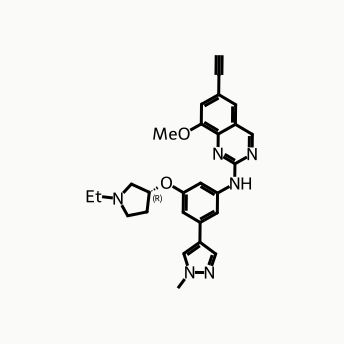 C#Cc1cc(OC)c2nc(Nc3cc(O[C@@H]4CCN(CC)C4)cc(-c4cnn(C)c4)c3)ncc2c1